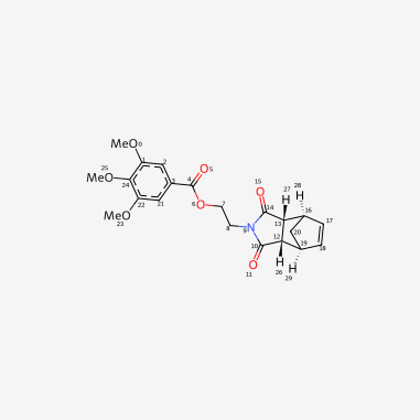 COc1cc(C(=O)OCCN2C(=O)[C@@H]3[C@H](C2=O)[C@H]2C=C[C@@H]3C2)cc(OC)c1OC